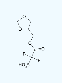 O=C(OCC1COCO1)C(F)(F)S(=O)(=O)O